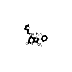 N[C@@H]1CCCC[C@H]1c1sc2c(NCc3cccs3)cc(Cl)nc2c1C(F)(F)F